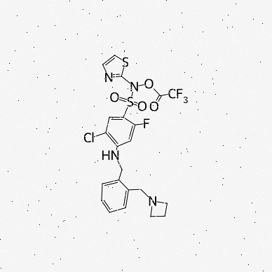 O=C(ON(c1nccs1)S(=O)(=O)c1cc(Cl)c(NCc2ccccc2CN2CCC2)cc1F)C(F)(F)F